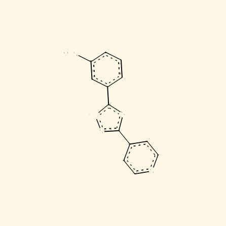 CNc1cccc(-c2nc(-c3ccncc3)no2)c1